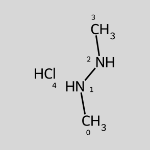 CNNC.Cl